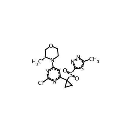 Cc1nnc(S(=O)(=O)C2(c3cc(N4CCOC[C@@H]4C)nc(Cl)n3)CC2)s1